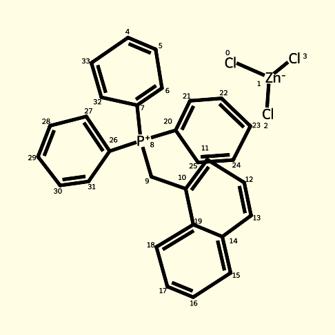 [Cl][Zn-]([Cl])[Cl].c1ccc([P+](Cc2cccc3ccccc23)(c2ccccc2)c2ccccc2)cc1